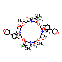 CC(C)C[C@H]1C(=O)O[C@H](C)C(=O)N(C)[C@@H](CC(C)(C)F)C(=O)O[C@H](Cc2ccc(C3CCOCC3)cc2)C(=O)N(C)[C@@H](CC(C)C)C(=O)O[C@H](C)C(=O)N(C)[C@@H](CC(C)(C)F)C(=O)O[C@H](Cc2ccc(C3CCOCC3)cc2)C(=O)N1C